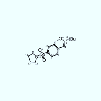 CC(C)(C)/[N+]([O-])=C/c1ccc(S(=O)(=O)N2CCCC2)cc1